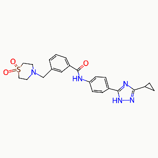 O=C(Nc1ccc(-c2nc(C3CC3)n[nH]2)cc1)c1cccc(CN2CCS(=O)(=O)CC2)c1